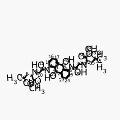 COC(=O)[C@H](CC(C)C)NCC(=O)Nc1cccc2c1C(=O)c1cccc(NC(=O)CN[C@@H](CC(C)C)C(=O)OC)c1C2=O